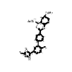 COc1ccc(NC(=O)c2ccc(-c3cc(-c4nnc(C)o4)ccc3C)cc2)c(CNC(C)=O)c1